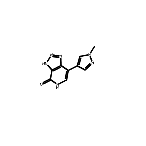 Cn1cc(-c2c[nH]c(=O)c3[nH]nnc23)cn1